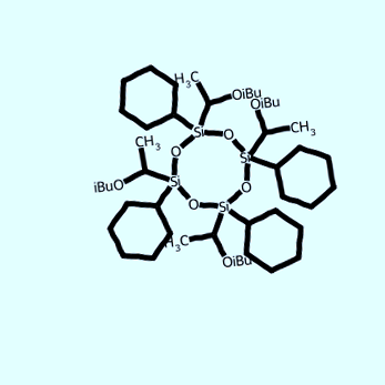 CC(C)COC(C)[Si]1(C2CCCCC2)O[Si](C2CCCCC2)(C(C)OCC(C)C)O[Si](C2CCCCC2)(C(C)OCC(C)C)O[Si](C2CCCCC2)(C(C)OCC(C)C)O1